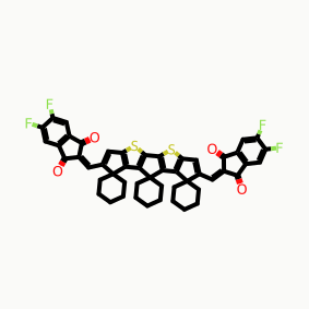 O=C1C(=CC2=Cc3sc4c(c3C23CCCCC3)C2(CCCCC2)c2c-4sc3c2C2(CCCCC2)C(C=C2C(=O)c4cc(F)c(F)cc4C2=O)=C3)C(=O)c2cc(F)c(F)cc21